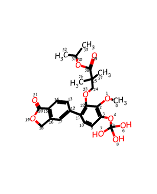 COc1c(OC(O)(O)O)ccc(-c2ccc3c(c2)COC3=O)c1OCC(C)(C)C(=O)OC(C)C